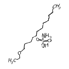 CCCCCCCCCCCCOCC.NS(=O)(=O)O